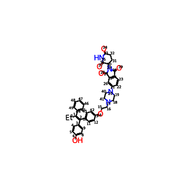 CCC(=C(c1ccc(O)cc1)c1ccc(OCCN2CCN(c3ccc4c(c3)C(=O)N(C3CCC(=O)NC3=O)C4=O)CC2)cc1)c1ccccc1